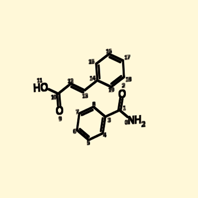 NC(=O)c1ccccc1.O=C(O)C=Cc1ccccc1